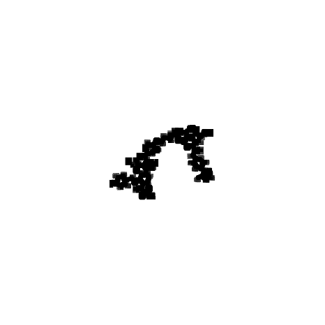 CCS(=O)(=O)Nc1ccc(-c2n[nH]c(Nc3cnc(OCCCCC(=O)NC(C(=O)N4C[C@H](O)C[C@H]4C(=O)NCc4ccc(-c5scnc5C)cc4)C(C)(C)C)cn3)c2C(N)=O)cc1OCc1ccc(F)cc1